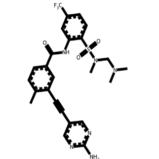 Cc1ccc(C(=O)Nc2cc(C(F)(F)F)ccc2S(=O)(=O)N(C)CN(C)C)cc1C#Cc1cnc(N)nc1